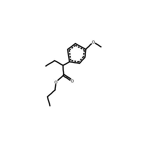 CCCOC(=O)C(CC)c1ccc(OC)cc1